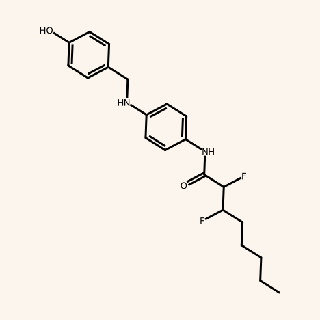 CCCCCC(F)C(F)C(=O)Nc1ccc(NCc2ccc(O)cc2)cc1